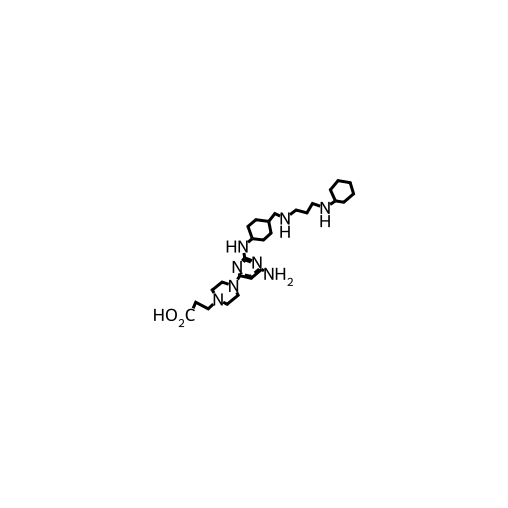 Nc1cc(N2CCN(CCC(=O)O)CC2)nc(NC2CCC(CNCCCNC3CCCCC3)CC2)n1